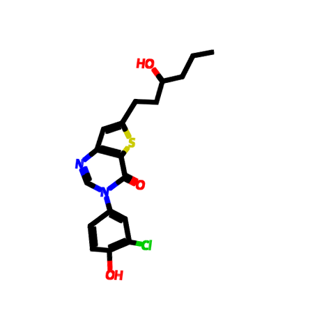 CCCC(O)CCc1cc2ncn(-c3ccc(O)c(Cl)c3)c(=O)c2s1